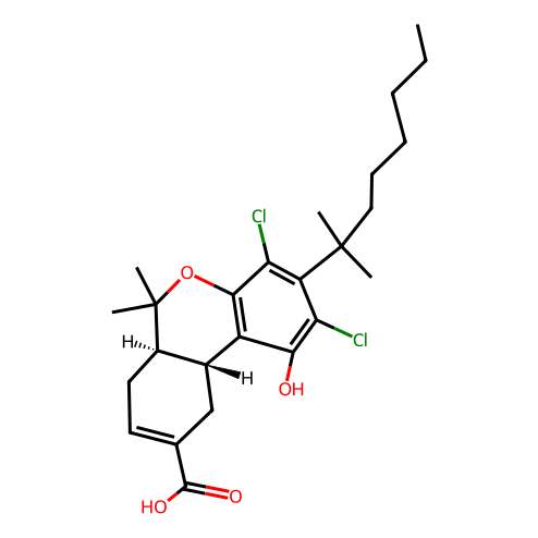 CCCCCCC(C)(C)c1c(Cl)c(O)c2c(c1Cl)OC(C)(C)[C@@H]1CC=C(C(=O)O)C[C@@H]21